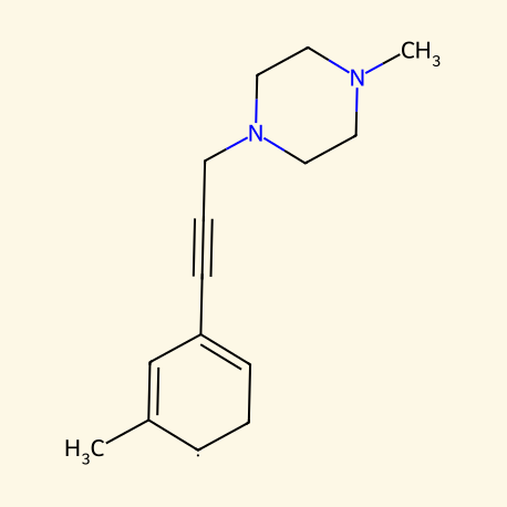 CC1=CC(C#CCN2CCN(C)CC2)=CC[CH]1